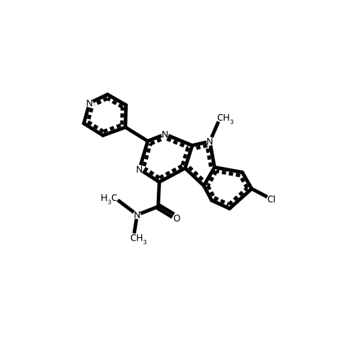 CN(C)C(=O)c1nc(-c2ccncc2)nc2c1c1ccc(Cl)cc1n2C